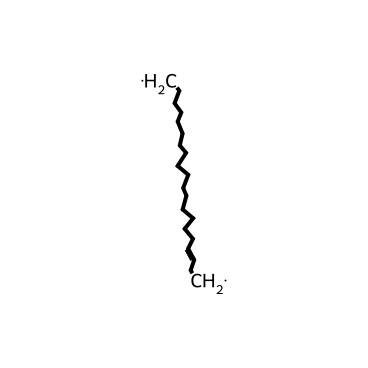 [CH2]CC=CCCCCCCCCCCCCCCC[CH2]